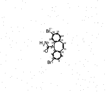 NC(=O)N1c2cc(Br)ccc2C=Cc2ccc(Br)cc21